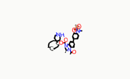 CC(=O)N1c2ccc(-c3ccc(N(C)S(C)(=O)=O)cc3)cc2N(C(=O)OC2CNCCC23CCCCCCCCC3)C[C@@H]1C